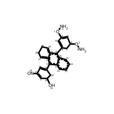 NOC1=CC(ON)CC(c2c3c(c(C4=CC(N=O)=CC(O)C4)c4ccccc24)=CCCC=3)=C1